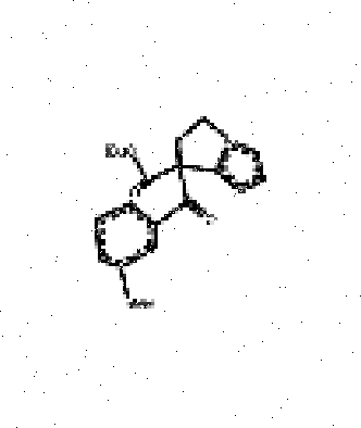 CSc1cccc(C(=O)C2(C(=O)OCC(C)C)CCn3cccc32)c1